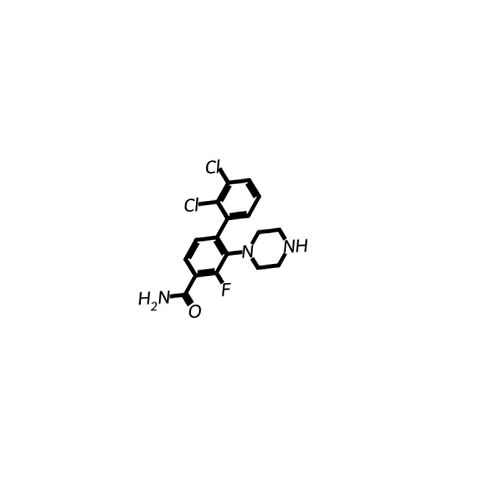 NC(=O)c1ccc(-c2cccc(Cl)c2Cl)c(N2CCNCC2)c1F